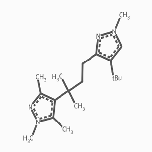 Cc1nn(C)c(C)c1C(C)(C)CCc1nn(C)cc1C(C)(C)C